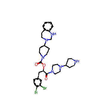 O=C(OC(Cc1ccc(Br)c(Br)c1)C(=O)N1CCN(C2CCNCC2)CC1)N1CCC(N2CCc3ccccc3NC2)CC1